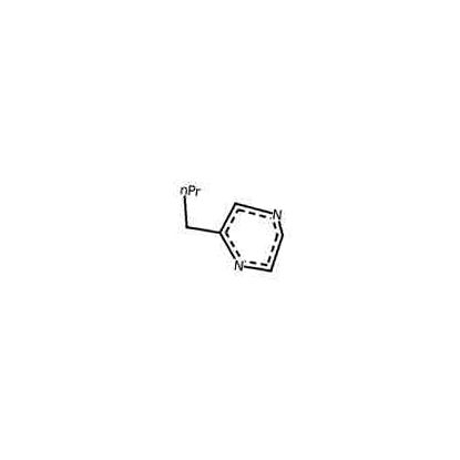 CCCCc1cnccn1